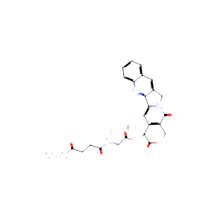 CC[C@@]1(OC(=O)CNC(=O)CCC(=O)NC)C(=O)OCc2c1cc1n(c2=O)Cc2cc3ccccc3nc2-1